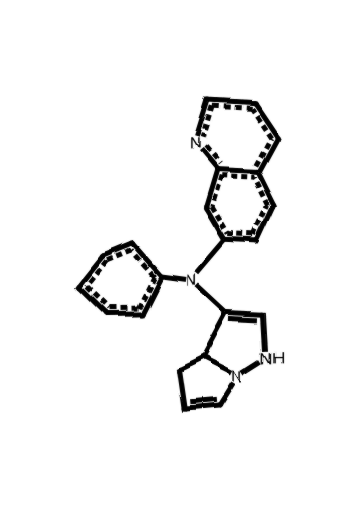 C1=CN2NC=C(N(c3ccccc3)c3ccc4cccnc4c3)C2C1